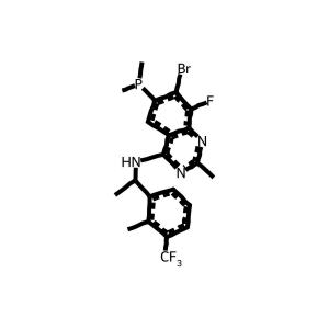 Cc1nc(NC(C)c2cccc(C(F)(F)F)c2C)c2cc(P(C)C)c(Br)c(F)c2n1